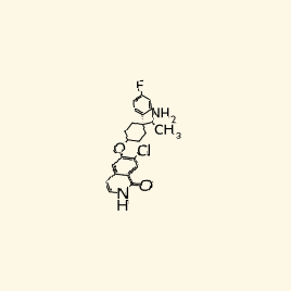 C[C@H](N)[C@]1(c2ccc(F)cc2)CC[C@H](Oc2cc3cc[nH]c(=O)c3cc2Cl)CC1